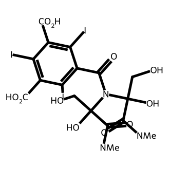 CNC(=O)C(O)(CO)N(C(=O)c1c(I)c(C(=O)O)c(I)c(C(=O)O)c1I)C(O)(CO)C(=O)NC